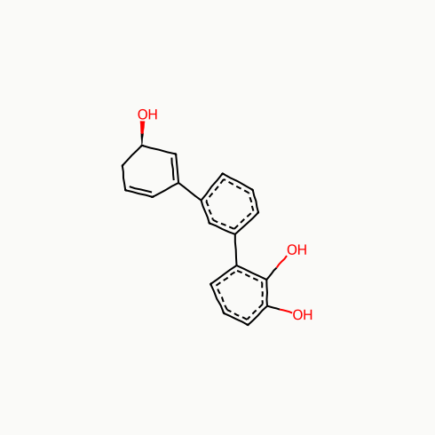 Oc1cccc(-c2cccc(C3=C[C@H](O)CC=C3)c2)c1O